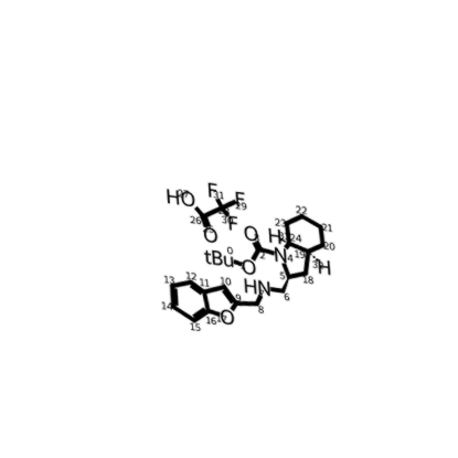 CC(C)(C)OC(=O)N1[C@H](CNCc2cc3ccccc3o2)C[C@@H]2CCCC[C@@H]21.O=C(O)C(F)(F)F